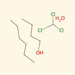 CCCCCC.CCCCO.ClC(Cl)Cl.O